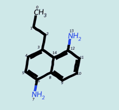 CCCc1ccc(N)c2cccc(N)c12